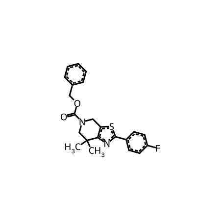 CC1(C)CN(C(=O)OCc2ccccc2)Cc2sc(-c3ccc(F)cc3)nc21